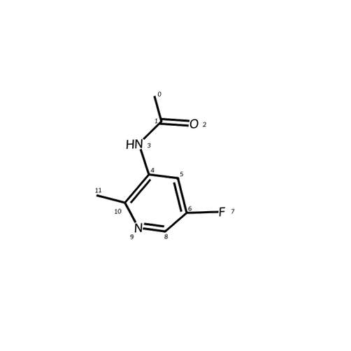 CC(=O)Nc1cc(F)cnc1C